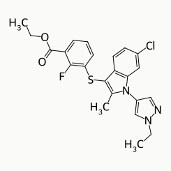 CCOC(=O)c1cccc(Sc2c(C)n(-c3cnn(CC)c3)c3cc(Cl)ccc23)c1F